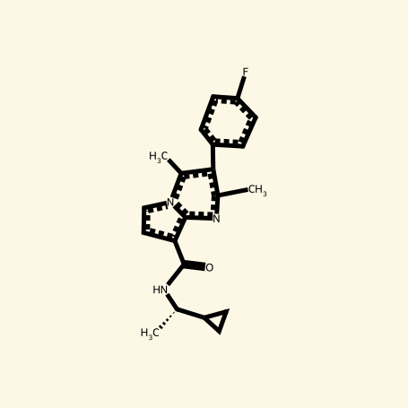 Cc1nc2c(C(=O)N[C@@H](C)C3CC3)ccn2c(C)c1-c1ccc(F)cc1